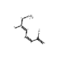 C=C(F)/C=C\C=C(/C)CN